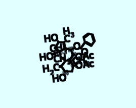 C=C1C2C[C@]3(C(C)(C)O)CC(O)C(C)=C3[C@@H](OC(=O)c3ccccc3)[C@H](OC(C)=O)[C@]2(C)[C@@H](OC(C)=O)C[C@@H]1O